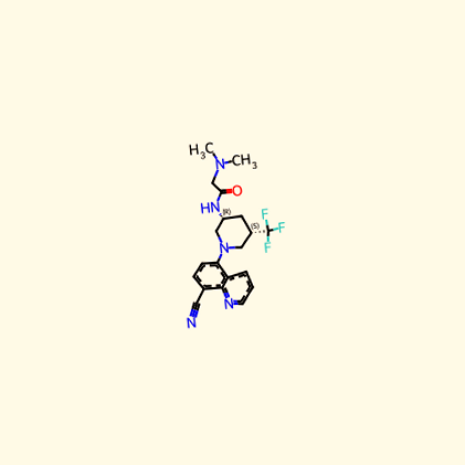 CN(C)CC(=O)N[C@@H]1C[C@H](C(F)(F)F)CN(c2ccc(C#N)c3ncccc23)C1